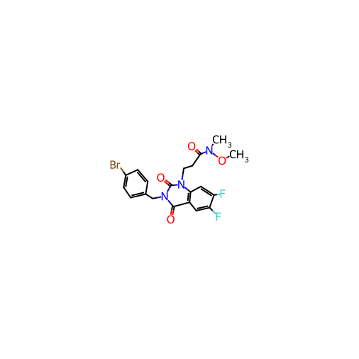 CON(C)C(=O)CCn1c(=O)n(Cc2ccc(Br)cc2)c(=O)c2cc(F)c(F)cc21